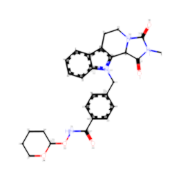 CN1C(=O)C2c3c(c4ccccc4n3Cc3ccc(C(=O)NOC4CCCCO4)cc3)CCN2C1=O